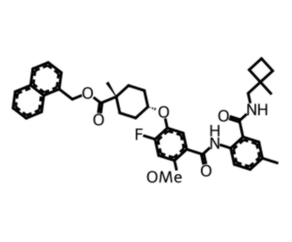 COc1cc(F)c(O[C@H]2CC[C@@](C)(C(=O)OCc3cccc4ccccc34)CC2)cc1C(=O)Nc1ccc(C)cc1C(=O)NCC1(C)CCC1